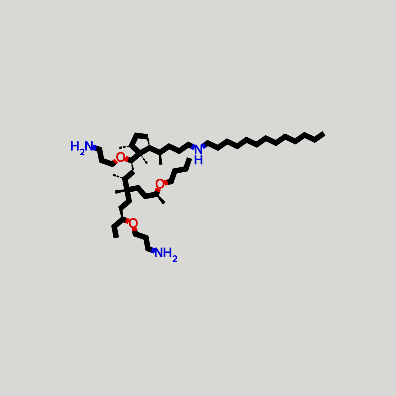 CCCCCCCCCCCCCNCCC[C@@H](C)[C@H]1CC[C@@H](C)[C@]1(C)[C@H](C[C@@H](C)[C@@](C)(CC[C@H](CC)OCCCN)CC[C@H](C)OCCCC)OCCCN